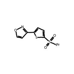 CC(C)S(=O)(=O)c1ccc(-c2ccon2)s1